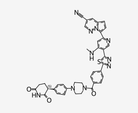 CNc1cc(-c2ccc3cc(C#N)cnn23)ncc1-c1nnc(-c2ccc(C(=O)N3CCN(c4ccc([C@@H]5CCC(=O)NC5=O)cc4)CC3)cc2)s1